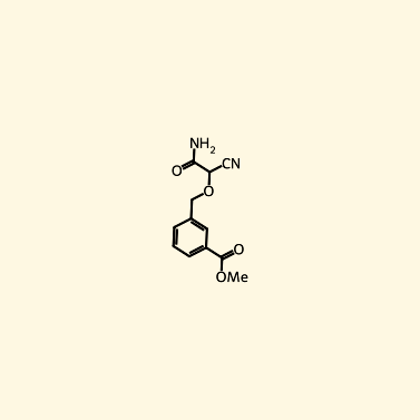 COC(=O)c1cccc(COC(C#N)C(N)=O)c1